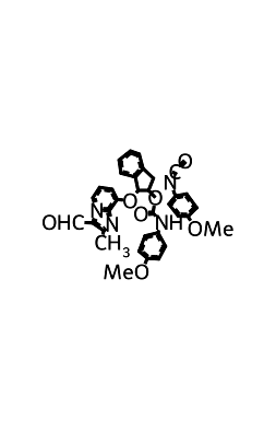 COc1ccc(N=C=O)cc1.COc1ccc(NC(=O)OC2Cc3ccccc3C2Oc2cccn3c(C=O)c(C)nc23)cc1